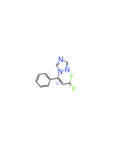 FC(F)/C=C(/c1ccccc1)n1cncn1